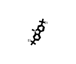 CCC(C)(C)c1ccc2c3ccc(C(C)(C)CC)cc3n(C)c2c1